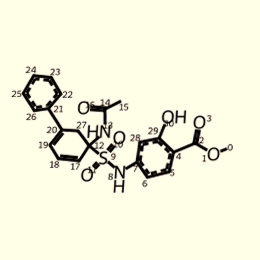 COC(=O)c1ccc(NS(=O)(=O)C2(NC(C)=O)C=CC=C(c3ccccc3)C2)cc1O